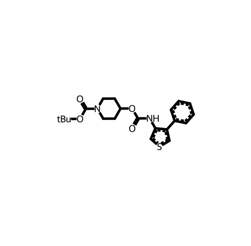 CC(C)(C)OC(=O)N1CCC(OC(=O)Nc2cscc2-c2ccccc2)CC1